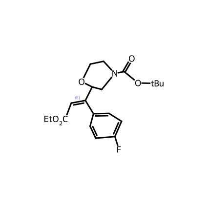 CCOC(=O)/C=C(\c1ccc(F)cc1)C1CN(C(=O)OC(C)(C)C)CCO1